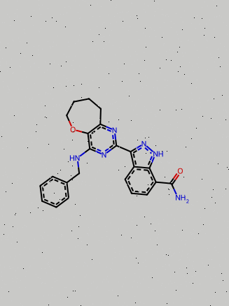 NC(=O)c1cccc2c(-c3nc4c(c(NCc5ccccc5)n3)OCCCC4)n[nH]c12